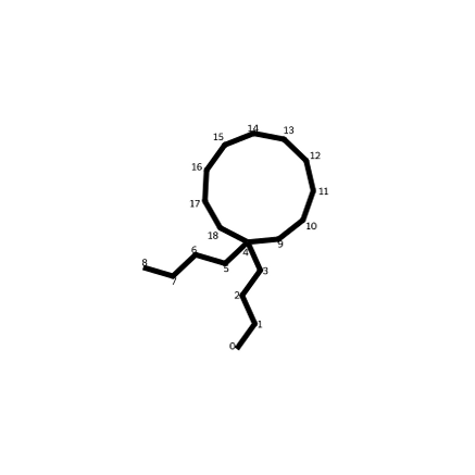 CCCCC1(CCCC)CCCCCCCCCC1